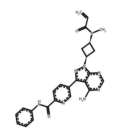 C=CC(=O)N(C)[C@H]1C[C@@H](n2nc(-c3ccc(C(=O)Nc4ccccc4)nc3)c3c(N)ncnc32)C1